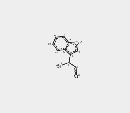 O=CC(Br)c1coc2ccccc12